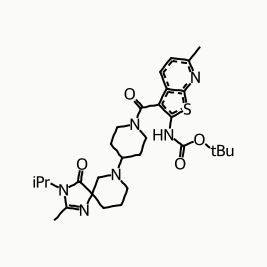 CC1=NC2(CCCN(C3CCN(C(=O)c4c(NC(=O)OC(C)(C)C)sc5nc(C)ccc45)CC3)C2)C(=O)N1C(C)C